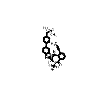 [2H]C([2H])([2H])N1C(=O)c2cccc(C#CC)c2[C@H]2C[C@@H]1c1nc3ccc(-c4ccc(CP(C)(C)=O)cc4)cc3n12